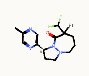 CCC1(C(F)F)CCCN2CC[C@@H](c3cnc(C)cn3)N2C1=O